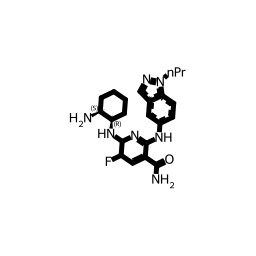 CCCn1ncc2cc(NC3=NC(N[C@@H]4CCCC[C@@H]4N)C(F)C=C3C(N)=O)ccc21